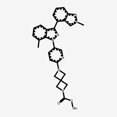 Cc1cccc2c(-c3cccc4nn(C)cc34)nn(-c3ccc(N4CC5(CN(C(=O)OC(C)(C)C)C5)C4)nc3)c12